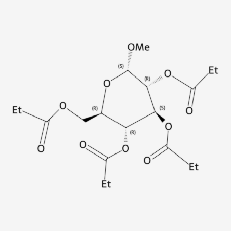 CCC(=O)OC[C@H]1O[C@H](OC)[C@H](OC(=O)CC)[C@@H](OC(=O)CC)[C@@H]1OC(=O)CC